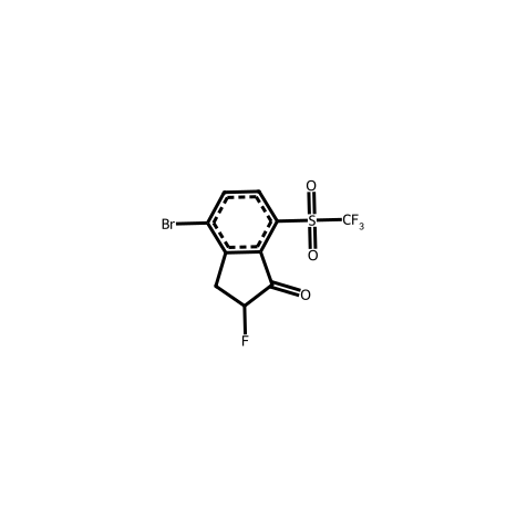 O=C1c2c(S(=O)(=O)C(F)(F)F)ccc(Br)c2CC1F